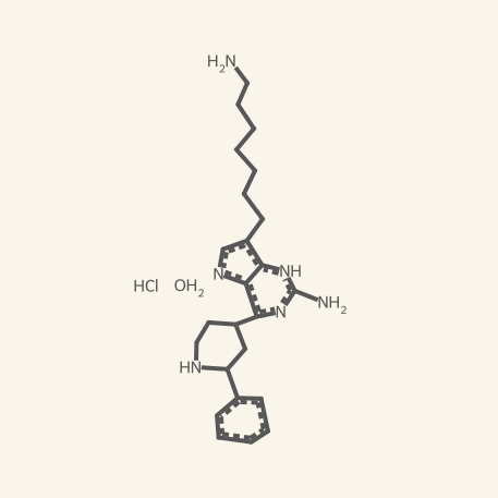 Cl.NCCCCCCCc1cnc2c(C3CCNC(c4ccccc4)C3)nc(N)[nH]c1-2.O